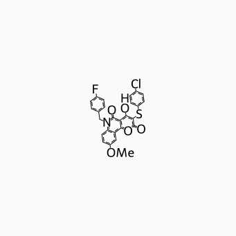 COc1ccc2c(c1)c1oc(=O)c(Sc3ccc(Cl)cc3)c(O)c1c(=O)n2Cc1ccc(F)cc1